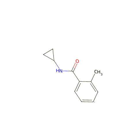 Cc1c[c]ccc1C(=O)NC1CC1